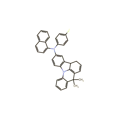 CC1(C)C2=C3C(CC=C2)c2cc(N(c4ccc(F)cc4)c4cccc5ccccc45)ccc2N3c2ccccc21